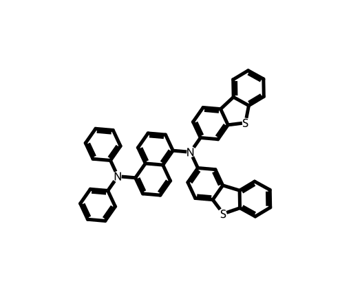 c1ccc(N(c2ccccc2)c2cccc3c(N(c4ccc5c(c4)sc4ccccc45)c4ccc5sc6ccccc6c5c4)cccc23)cc1